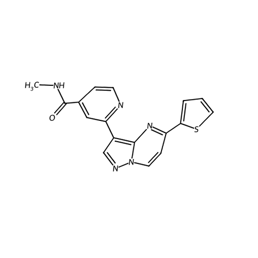 CNC(=O)c1ccnc(-c2cnn3ccc(-c4cccs4)nc23)c1